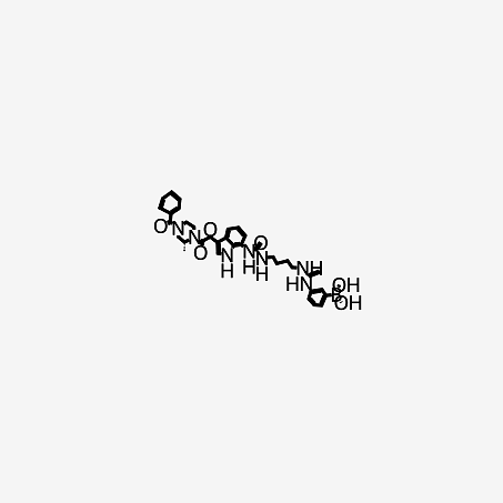 C=C(NCCCCNC(=O)Nc1cccc2c(C(=O)C(=O)N3CCN(C(=O)c4ccccc4)C[C@H]3C)c[nH]c12)Nc1cccc(B(O)O)c1